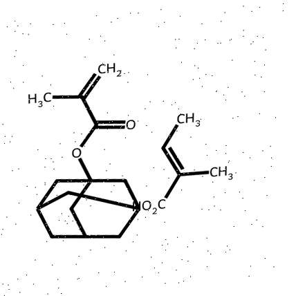 C=C(C)C(=O)OC12CC3CC(CC(C3)C1)C2.CC=C(C)C(=O)O